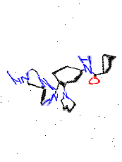 O=C(Nc1ccc(-c2ncc3n2CCNC3)c(N2CCCC2)c1)C1CC1